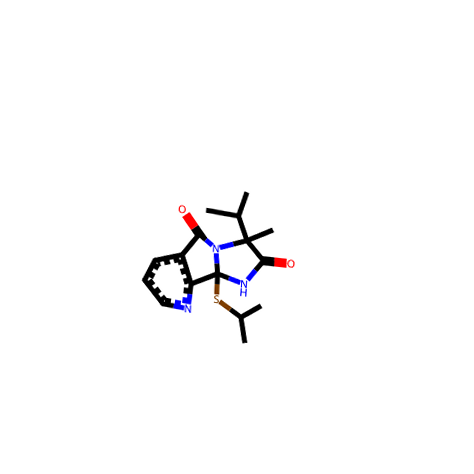 CC(C)SC12NC(=O)C(C)(C(C)C)N1C(=O)c1cccnc12